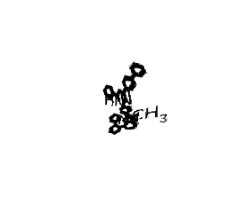 CN1C2=CCCC3=C2N(c2ccccc2C2C=CC=CC32)C1c1ccc(C2=NC(C3C=CC(C4C=CC=CC4)=CC3)CC(C3=CCCC=C3)N2)cc1